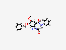 COc1cc2c(cc1OCc1ccccc1)NC(=O)CN(c1ccccc1)C2=O